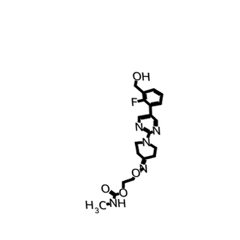 CNC(=O)OCCON=C1CCN(c2ncc(-c3cccc(CO)c3F)cn2)CC1